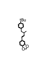 CC(C=Cc1ccc2c(c1)OCO2)Cc1ccc(C(C)(C)C)cc1